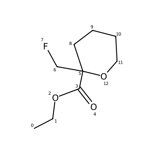 CCOC(=O)C1(CF)CCCCO1